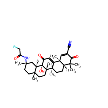 CC1(C)C(=O)C(C#N)=C[C@]2(C)C3=CC(=O)[C@]4(O)[C@@H]5C[C@@](C)(NC(=O)CF)CC[C@@]5(C)CC[C@@]4(C)[C@]3(C)CC[C@@H]12